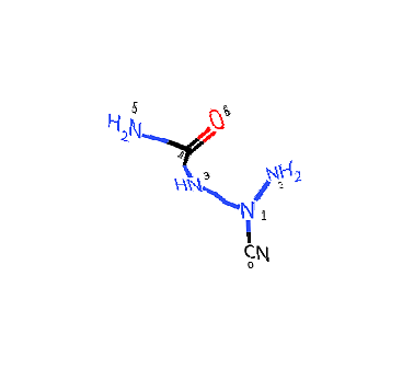 N#CN(N)NC(N)=O